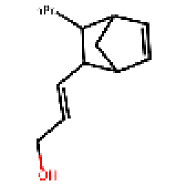 CCCC1C2C=CC(C2)C1C=CCO